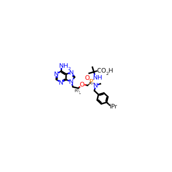 CC(C)c1ccc(CN(C)[P@@](=O)(CO[C@H](C)Cn2cnc3c(N)ncnc32)NC(C)(C)C(=O)O)cc1